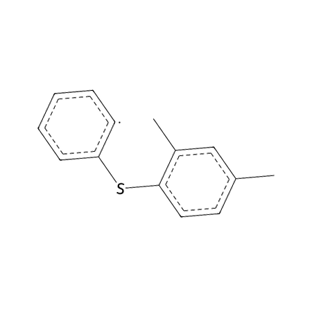 Cc1ccc(Sc2[c]cccc2)c(C)c1